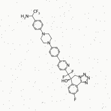 NC(c1ccc(N2CCN(c3ccc(-c4ccc(C(F)(F)[C@]5(O)Cn6nnnc6-c6cc(F)ccc65)nc4)cc3)CC2)cc1)C(F)(F)F